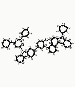 c1ccc(-c2cc(-n3c4ccccc4c4ccc(-c5ccc6c(c5)-c5cccc7c5c(cc5c7c7ccccc7n5-c5ccccc5)O6)cc43)nc(-c3ccccc3)n2)cc1